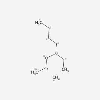 C.CCCCC(CC)OCC